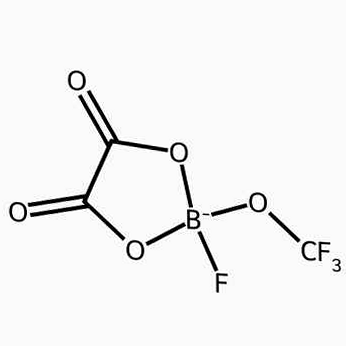 O=C1O[B-](F)(OC(F)(F)F)OC1=O